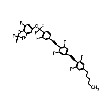 CCCCCc1cc(F)c(C#Cc2cc(F)c(C#Cc3ccc(C(F)(F)Oc4cc(F)c(OC(F)(F)F)c(F)c4)c(F)c3)c(F)c2)c(F)c1